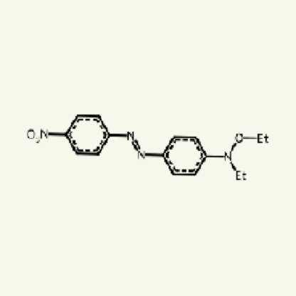 CCON(CC)c1ccc(N=Nc2ccc([N+](=O)[O-])cc2)cc1